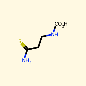 NC(=S)CCNC(=O)O